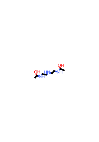 CC(O)NCCNCCNC(C)O